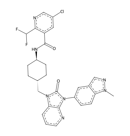 Cn1ncc2cc(-n3c(=O)n(C[C@H]4CC[C@H](NC(=O)c5cc(Cl)cnc5C(F)F)CC4)c4cccnc43)ccc21